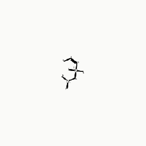 C/C=C\[Si](C)(C)CN(C)C